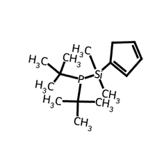 CC(C)(C)P(C(C)(C)C)[Si](C)(C)C1=CC=CC1